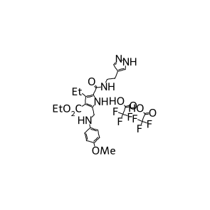 CCOC(=O)c1c(CNc2ccc(OC)cc2)[nH]c(C(=O)NCCc2cn[nH]c2)c1CC.O=C(O)C(F)(F)F.O=C(O)C(F)(F)F